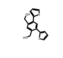 OCc1cc(CO)c(-c2cccs2)cc1-c1cccs1